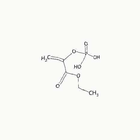 C=C(OP(=O)(O)O)C(=O)OCC